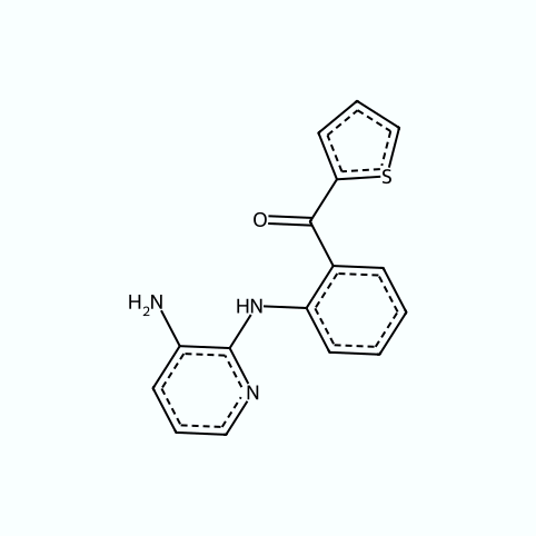 Nc1cccnc1Nc1ccccc1C(=O)c1cccs1